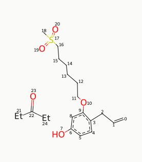 C=CCc1ccc(O)cc1OCCCCCCS(C)(=O)=O.CCC(=O)CC